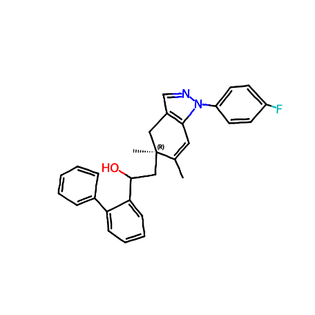 CC1=Cc2c(cnn2-c2ccc(F)cc2)C[C@]1(C)CC(O)c1ccccc1-c1ccccc1